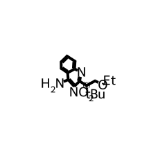 CCOC[C@H](c1nc2ccccc2c(N)c1[N+](=O)[O-])C(C)(C)C